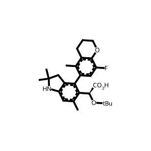 Cc1cc2c(c(-c3cc(F)c4c(c3C)CCCO4)c1[C@H](OC(C)(C)C)C(=O)O)CC(C)(C)N2